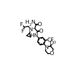 NC(=O)[C@H](C(=O)Nc1ccc(N2CCOCC2=O)c(C(F)(F)F)c1)N(CC(F)F)C1CC1